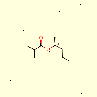 CCC[C@H](C)OC(=O)C(C)C